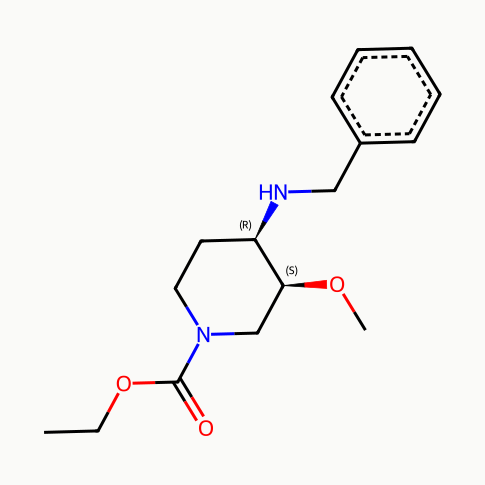 CCOC(=O)N1CC[C@@H](NCc2ccccc2)[C@@H](OC)C1